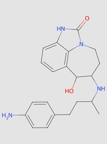 CC(CCc1ccc(N)cc1)NC1CCn2c(=O)[nH]c3cccc(c32)C1O